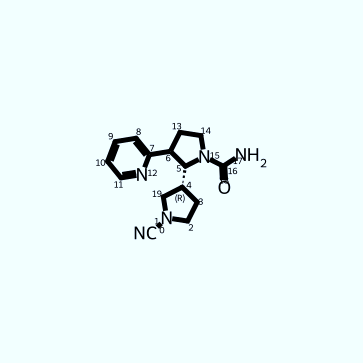 N#CN1CC[C@@H](C2C(c3ccccn3)CCN2C(N)=O)C1